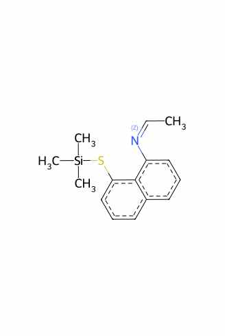 C/C=N\c1cccc2cccc(S[Si](C)(C)C)c12